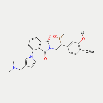 CCOc1cc(C(CN2C(=O)c3cccc(-n4ccc(CN(C)C)c4)c3C2=O)[S+](C)[O-])ccc1OC